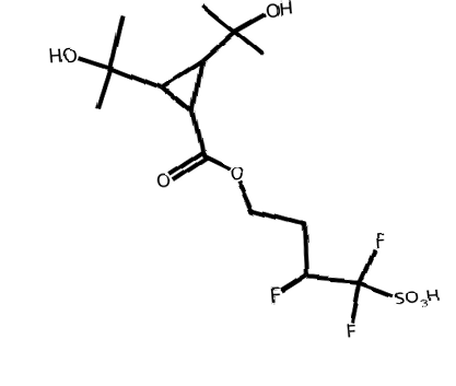 CC(C)(O)C1C(C(=O)OCCC(F)C(F)(F)S(=O)(=O)O)C1C(C)(C)O